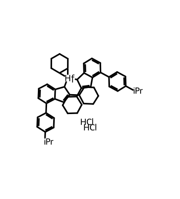 CC(C)c1ccc(-c2cccc3c2C=C(C2CCCCC2)[CH]3[Hf]2([CH]3C(C4CCCCC4)=Cc4c(-c5ccc(C(C)C)cc5)cccc43)[CH]3CCCC[CH]32)cc1.Cl.Cl